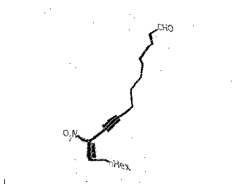 CCCCCCC=C(C#CCCCCCCC=O)[N+](=O)[O-]